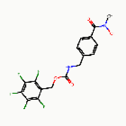 CN(O)C(=O)c1ccc(CNC(=O)OCc2c(F)c(F)c(F)c(F)c2F)cc1